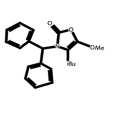 CCC(C)c1c(OC)oc(=O)n1C(c1ccccc1)c1ccccc1